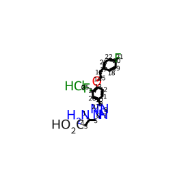 Cl.NC(CC(=O)O)Cn1nnc(-c2ccc(OCCc3ccc(F)cc3)c(F)c2)n1